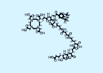 CC(C)(C)[Si](F)(c1ccc(C(=O)NC[C@@H](NC(=O)CC[C@@H](C(=O)O)N2CCN(CC(=O)O)CCN(CC(=O)O)CCN(CC(=O)O)CC2)C(=O)N[C@H](CCCCNC(=O)CCC(=O)NCCC[C@H](NC(=O)CC[C@H](NC(=O)N[C@@H](CCCC(=O)O)C(=O)O)C(=O)O)C(=O)O)C(=O)O)cc1)C(C)(C)C